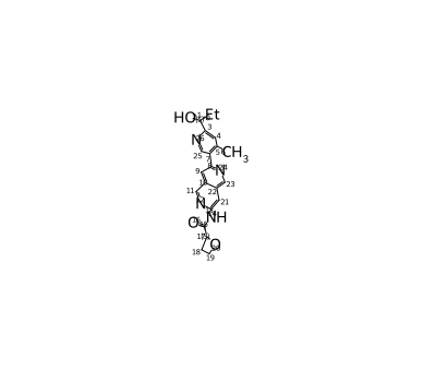 CC[C@H](O)c1cc(C)c(-c2cc3cnc(NC(=O)[C@@H]4CCO4)cc3cn2)cn1